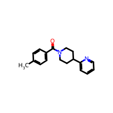 Cc1ccc(C(=O)N2CCC(c3ccccn3)CC2)cc1